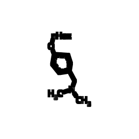 CCCCCCOc1ccc(CN(C)C)cc1